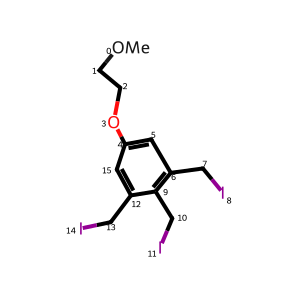 COCCOc1cc(CI)c(CI)c(CI)c1